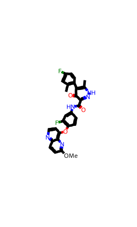 COc1ccc2nccc(Oc3ccc(NC(=O)c4n[nH]c(C)c(-c5ccc(F)cc5C)c4=O)cc3F)c2n1